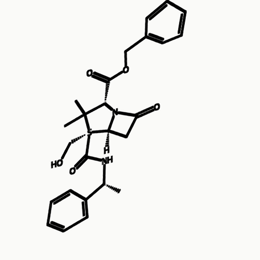 C[C@@H](NC(=O)[S@]1(CO)[C@@H]2CC(=O)N2[C@@H](C(=O)OCc2ccccc2)C1(C)C)c1ccccc1